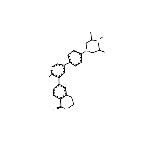 CC1CN(c2ccc(-c3cnc(N)c(-c4ccc5c(c4)CCNC5=O)c3)cc2)CC(C)N1C